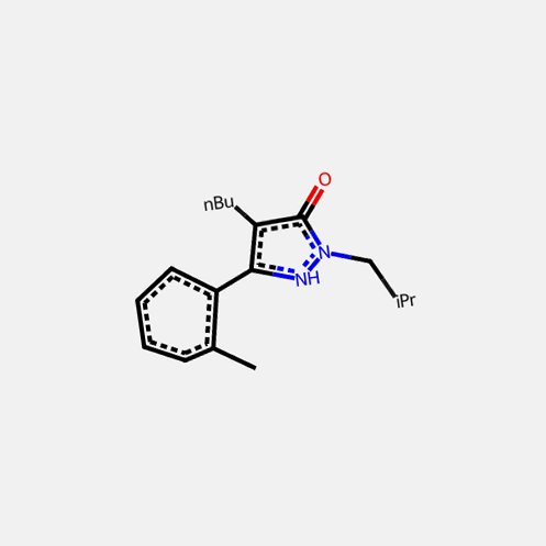 CCCCc1c(-c2ccccc2C)[nH]n(CC(C)C)c1=O